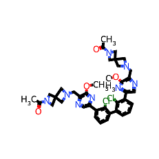 COc1nc(-c2cccc(-c3cccc(-c4cnc(CN5CC6(C5)CN(C(C)=O)C6)c(OC)n4)c3Cl)c2Cl)cnc1CN1CC2(C1)CN(C(C)=O)C2